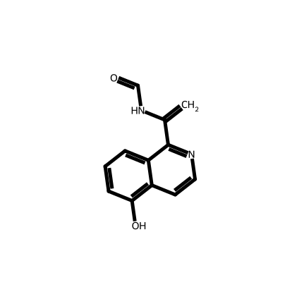 C=C(NC=O)c1nccc2c(O)cccc12